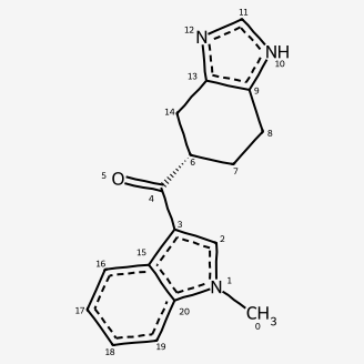 Cn1cc(C(=O)[C@H]2CCc3[nH]cnc3C2)c2ccccc21